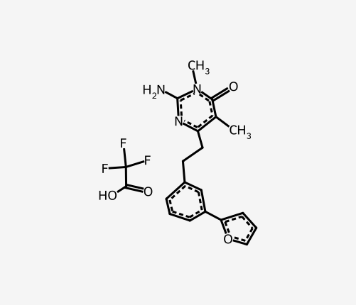 Cc1c(CCc2cccc(-c3ccco3)c2)nc(N)n(C)c1=O.O=C(O)C(F)(F)F